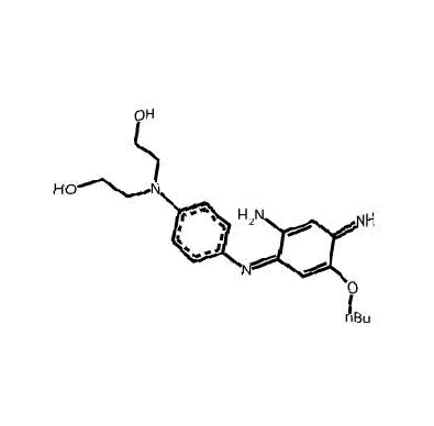 CCCCOC1=CC(=Nc2ccc(N(CCO)CCO)cc2)C(N)=CC1=N